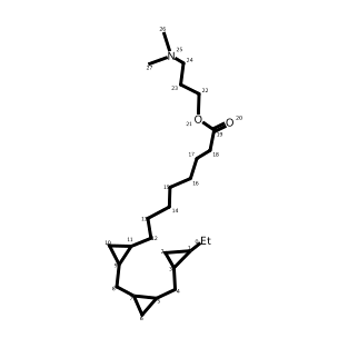 CCC1CC1CC1CC1CC1CC1CCCCCCCC(=O)OCCCN(C)C